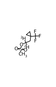 [2H]C([2H])(CC1(C(F)(F)F)CC1)OS(C)(=O)=O